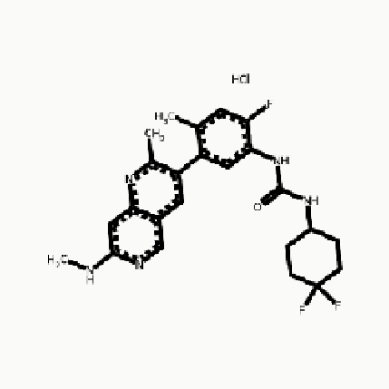 CNc1cc2nc(C)c(-c3cc(NC(=O)NC4CCC(F)(F)CC4)c(F)cc3C)cc2cn1.Cl